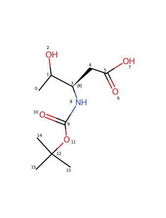 CC(O)[C@@H](CC(=O)O)NC(=O)OC(C)(C)C